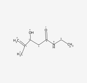 C=C(C)C(O)CC(=O)NCC